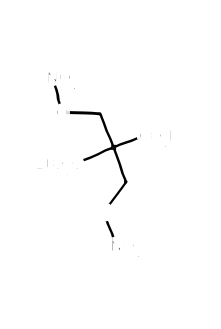 CCOC(=O)C(CO[N+](=O)[O-])(CO[N+](=O)[O-])C(=O)OCC